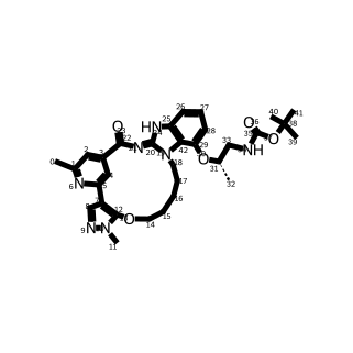 Cc1cc2cc(n1)-c1cnn(C)c1OCCCCCN1/C(=N/C2=O)Nc2cccc(O[C@@H](C)CNC(=O)OC(C)(C)C)c21